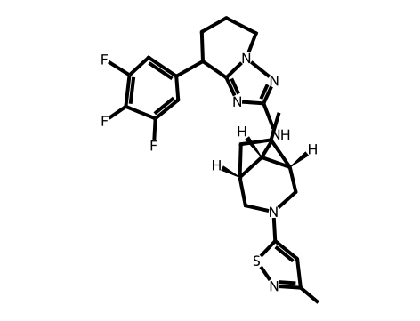 Cc1cc(N2C[C@@H]3CC(C)[C@H](C2)[C@H]3Nc2nc3n(n2)CCCC3c2cc(F)c(F)c(F)c2)sn1